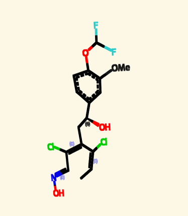 C\C=C(Cl)/C(C[C@H](O)c1ccc(OC(F)F)c(OC)c1)=C(Cl)\C=N\O